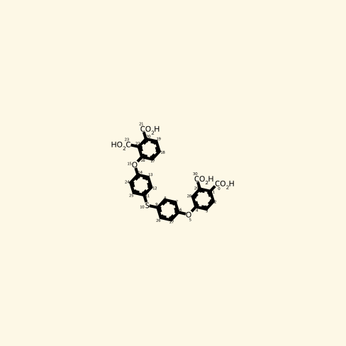 O=C(O)c1ccc(Oc2ccc(Sc3ccc(Oc4cccc(C(=O)O)c4C(=O)O)cc3)cc2)cc1C(=O)O